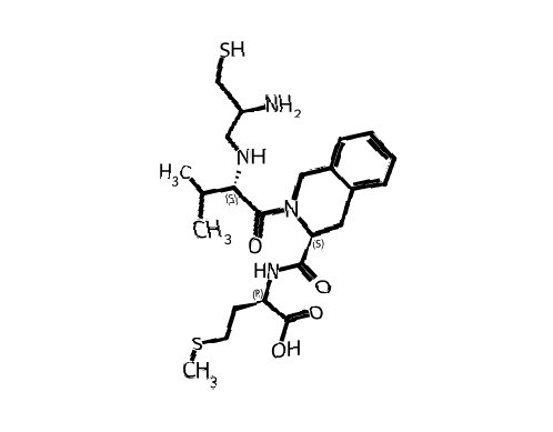 CSCC[C@@H](NC(=O)[C@@H]1Cc2ccccc2CN1C(=O)[C@@H](NCC(N)CS)C(C)C)C(=O)O